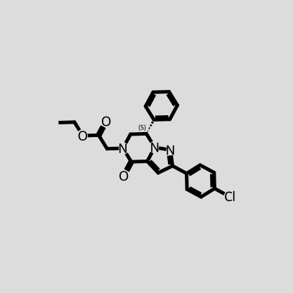 CCOC(=O)CN1C[C@H](c2ccccc2)n2nc(-c3ccc(Cl)cc3)cc2C1=O